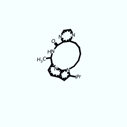 CC(C)c1cc2ccc3nc2n1CCCCCc1nccnc1C(=O)NC3C